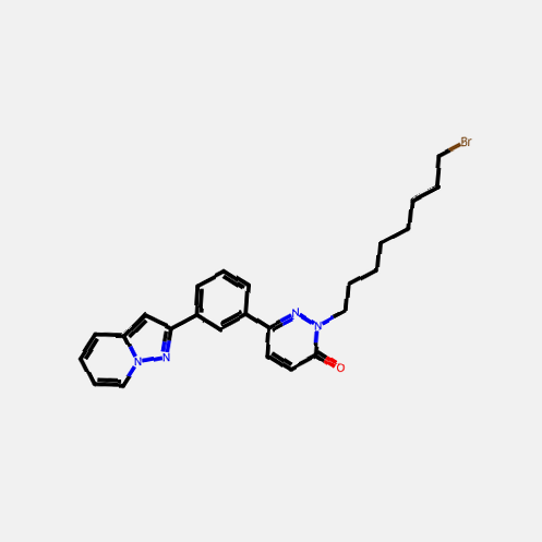 O=c1ccc(-c2cccc(-c3cc4ccccn4n3)c2)nn1CCCCCCCCBr